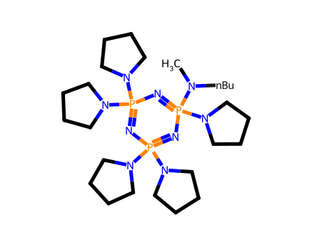 CCCCN(C)P1(N2CCCC2)=NP(N2CCCC2)(N2CCCC2)=NP(N2CCCC2)(N2CCCC2)=N1